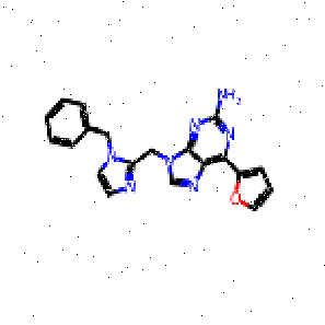 Nc1nc(-c2ccco2)c2ncn(Cc3nccn3Cc3ccccc3)c2n1